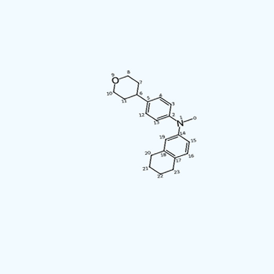 CN(c1ccc(C2CCOCC2)cc1)c1ccc2c(c1)CCCC2